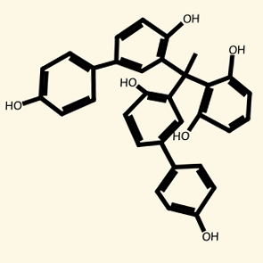 CC(c1cc(-c2ccc(O)cc2)ccc1O)(c1cc(-c2ccc(O)cc2)ccc1O)c1c(O)cccc1O